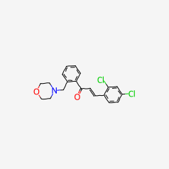 O=C(C=Cc1ccc(Cl)cc1Cl)c1ccccc1CN1CCOCC1